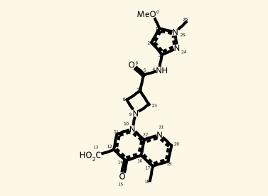 COc1cc(NC(=O)C2CN(n3cc(C(=O)O)c(=O)c4c(C)ccnc43)C2)nn1C